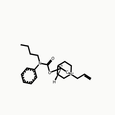 C=CC[N+]12CCC(CC1)[C@@H](OC(=O)N(CCCC)c1ccccc1)C2